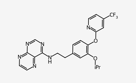 CC(C)Oc1cc(CCNc2ncnc3nccnc23)ccc1Oc1cc(C(F)(F)F)ccn1